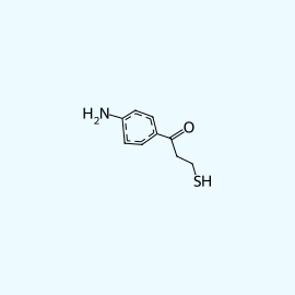 Nc1ccc(C(=O)CCS)cc1